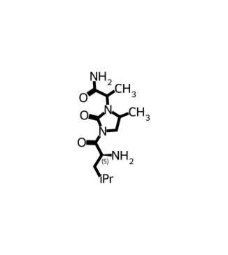 CC(C)C[C@H](N)C(=O)N1CC(C)N(C(C)C(N)=O)C1=O